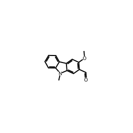 COc1cc2c3ccccc3n(C)c2cc1C=O